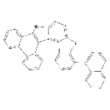 c1ccc2c(-c3cccc4c3sc3ccc5[nH]c6c7ccccc7c7ccccc7c6c5c34)cccc2c1